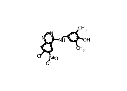 Cc1cc(CNc2ncnc3cc(Cl)c([N+](=O)[O-])cc23)cc(C)c1O